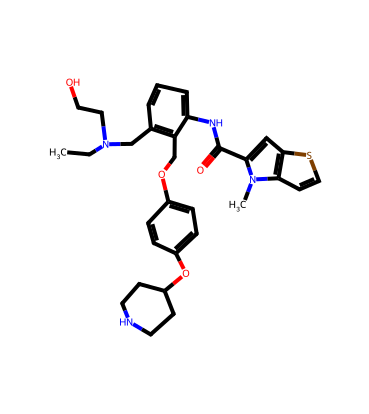 CCN(CCO)Cc1cccc(NC(=O)c2cc3sccc3n2C)c1COc1ccc(OC2CCNCC2)cc1